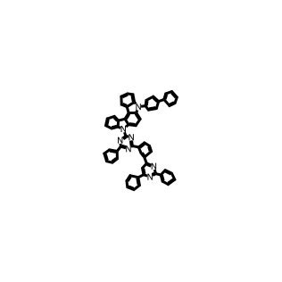 c1ccc(-c2ccc(-n3c4ccccc4c4c5c6ccccc6n(-c6nc(-c7ccccc7)nc(-c7cccc(-c8cc(-c9ccccc9)nc(-c9ccccc9)n8)c7)n6)c5ccc43)cc2)cc1